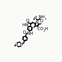 Cc1c(C(=O)O)c(C)n(C(C(N)=O)N(C)C)c1C=C1C(=O)Nc2cc(NC(=O)c3ccc(CN4CCN(C)CC4)cc3)ccc21